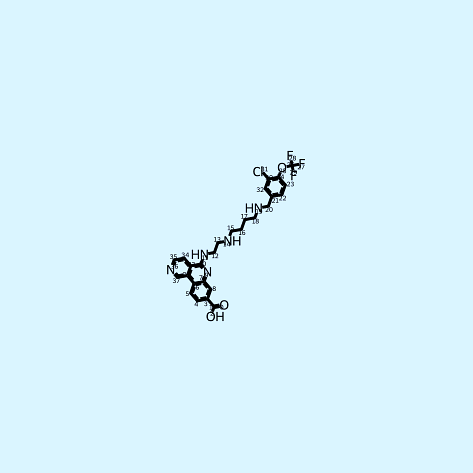 O=C(O)c1ccc2c(c1)nc(NCCNCCCCNCc1ccc(OC(F)(F)F)c(Cl)c1)c1ccncc12